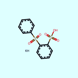 O=S(=O)(O)c1ccccc1S(=O)(=O)c1ccccc1.[KH]